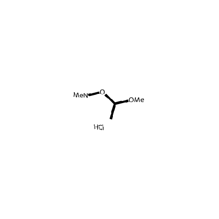 CNOC(C)OC.Cl